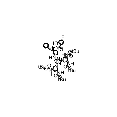 CC(C)(C)OC(=O)N[C@@H]1C[C@H](NC(=O)OC(C)(C)C)CN(c2nc(Nc3ccc(NC(=O)c4ccc(F)cc4O)c(OCc4ccccc4)c3)nc(N3C[C@H](NC(=O)OC(C)(C)C)C[C@H](NC(=O)OC(C)(C)C)C3)n2)C1